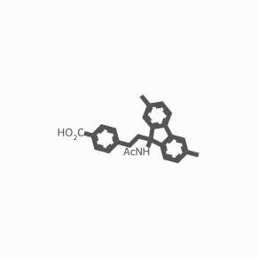 CC(=O)NC1(CCc2ccc(C(=O)O)cc2)c2ccc(C)cc2-c2ccc(C)cc21